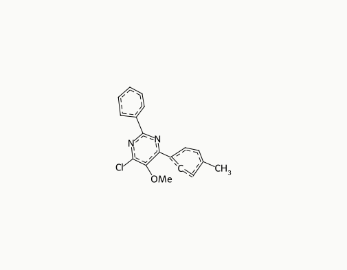 COc1c(Cl)nc(-c2ccccc2)nc1-c1ccc(C)cc1